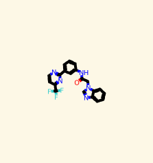 O=C(Cn1cnc2ccccc21)Nc1cccc(-c2nccc(C(F)(F)F)n2)c1